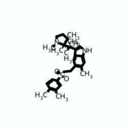 Cc1ccc(S(=O)(=O)CCc2cc3c(C(C)(C)[C@]4(C)N(C)CCC4(C)C)c[nH]c3cc2C)cc1C